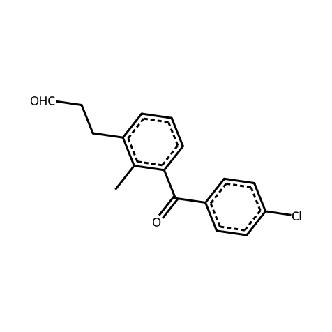 Cc1c(CCC=O)cccc1C(=O)c1ccc(Cl)cc1